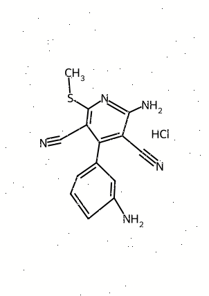 CSc1nc(N)c(C#N)c(-c2cccc(N)c2)c1C#N.Cl